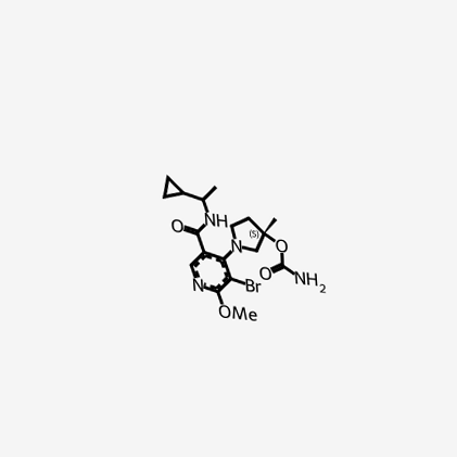 COc1ncc(C(=O)NC(C)C2CC2)c(N2CC[C@](C)(OC(N)=O)C2)c1Br